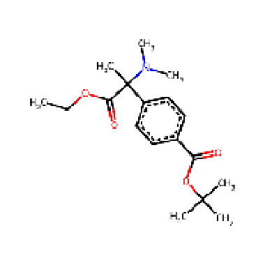 CCOC(=O)C(C)(c1ccc(C(=O)OC(C)(C)C)cc1)N(C)C